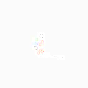 CCCCCCCCCCCCC(=O)C(C)OC(=O)c1cccc(NC(=O)C(Cl)C(=O)c2ccccc2)c1